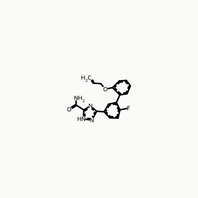 C=CCOc1ccccc1-c1cc(-c2n[nH]c(C(N)=O)n2)ccc1F